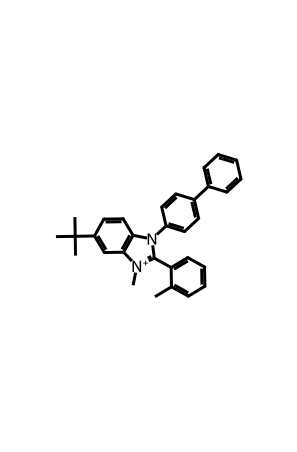 Cc1ccccc1-c1n(-c2ccc(-c3ccccc3)cc2)c2ccc(C(C)(C)C)cc2[n+]1C